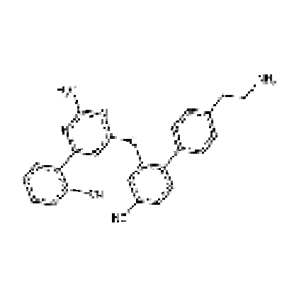 Cc1nc(Oc2cc(C#N)ccc2-c2ccc(CCN)cc2)cc(-c2ccccc2C#N)n1